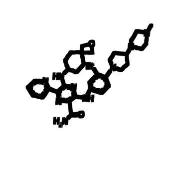 CCc1cc(Nc2nc(NC3CCC4(CC3)COC4)c(-c3ccccn3)nc2C(N)=O)ccc1N1CCC(N2CCN(C)CC2)CC1